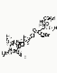 CC(=O)CC[C@@H](NC(=O)N[C@H](CCCCN(Cc1ccc(Br)cc1)C(=O)c1ccc(CNC(=S)Nc2ccc(CC3CN(CC(N)=O)CCN(CC(N)=O)CCN(CC(N)=O)CCN3CC(N)=O)cc2)cc1)C(=O)O)C(=O)O